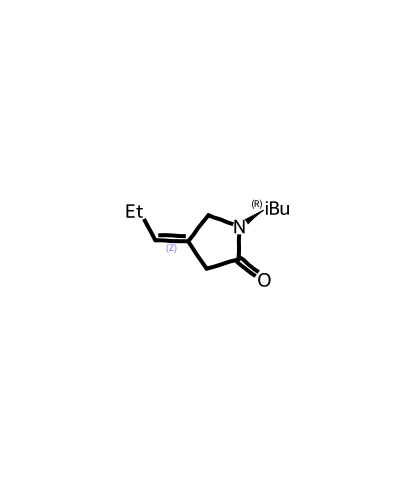 CC/C=C1/CC(=O)N([C@H](C)CC)C1